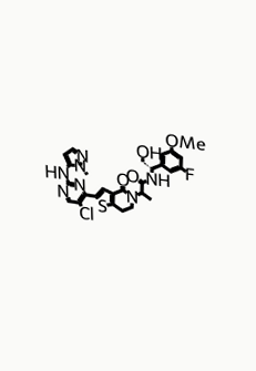 COc1cc(F)cc([C@@H](CO)NC(=O)C(C)N2CCc3sc(-c4nc(Nc5ccnn5C)ncc4Cl)cc3C2=O)c1